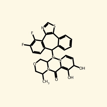 CC1COCC2N1C(=O)C1=C(O)C(O)C=CN1N2C1c2ccccc2-c2scnc2-c2c1ccc(F)c2F